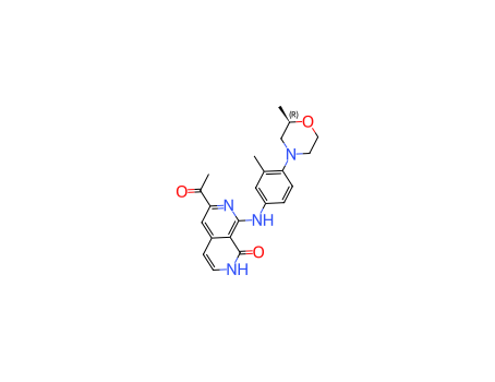 CC(=O)c1cc2cc[nH]c(=O)c2c(Nc2ccc(N3CCO[C@H](C)C3)c(C)c2)n1